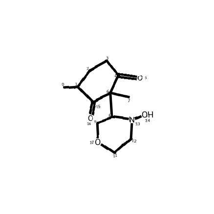 CC1CCC(=O)C(C)(C2COCCN2O)C1=O